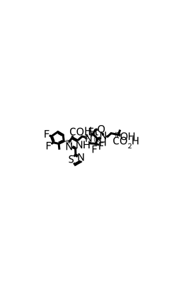 CCOC(=O)C1=C(CN2CC(F)(F)[C@H]3[C@@H]2CON3CC[C@@](C)(O)C(=O)O)NC(c2nccs2)=N[C@@H]1c1ccc(F)c(F)c1C